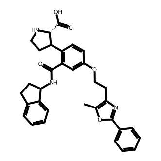 Cc1oc(-c2ccccc2)nc1CCOc1ccc(C2CCN[C@@H]2C(=O)O)c(C(=O)NC2CCc3ccccc32)c1